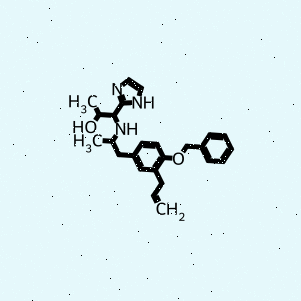 C=CCc1cc(CC(C)NC(c2ncc[nH]2)C(C)O)ccc1OCc1ccccc1